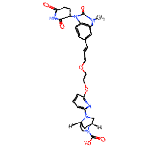 Cn1c(=O)n(C2CCC(=O)NC2=O)c2ccc(C=CCOCCOc3cccc(N4C[C@H]5C[C@@H]4CN5C(=O)O)n3)cc21